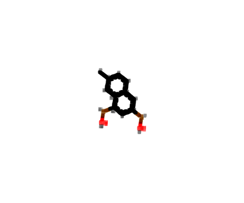 Cc1ccc2cc(SO)cc(SO)c2c1